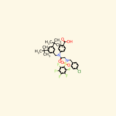 CC(C)(C)c1cc(CN(C(=O)CN(Cc2ccc(Cl)cc2)S(=O)(=O)c2c(F)c(F)c(F)c(F)c2F)c2ccc(C(=O)O)cc2)cc(C(C)(C)C)c1